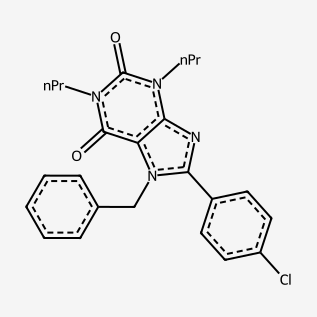 CCCn1c(=O)c2c(nc(-c3ccc(Cl)cc3)n2Cc2ccccc2)n(CCC)c1=O